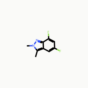 Cc1c2cc(F)cc(F)c2nn1C